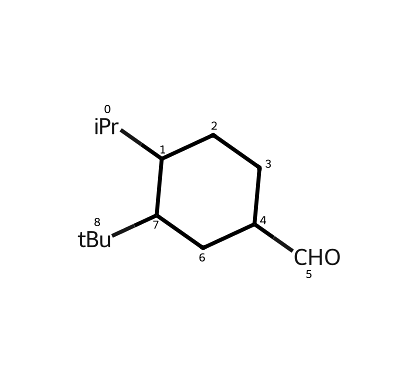 CC(C)C1CCC(C=O)CC1C(C)(C)C